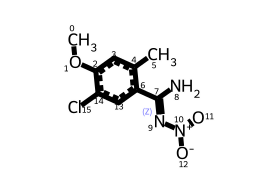 COc1cc(C)c(/C(N)=N/[N+](=O)[O-])cc1Cl